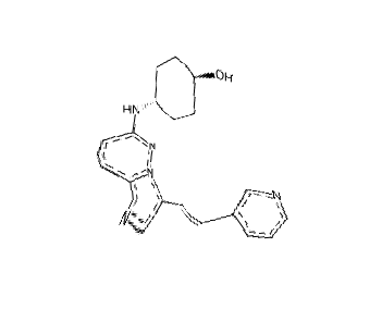 O[C@H]1CC[C@H](Nc2ccc3ncc(/C=C/c4cccnc4)n3n2)CC1